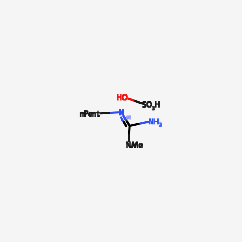 CCCCC/N=C(/N)NC.O=S(=O)(O)O